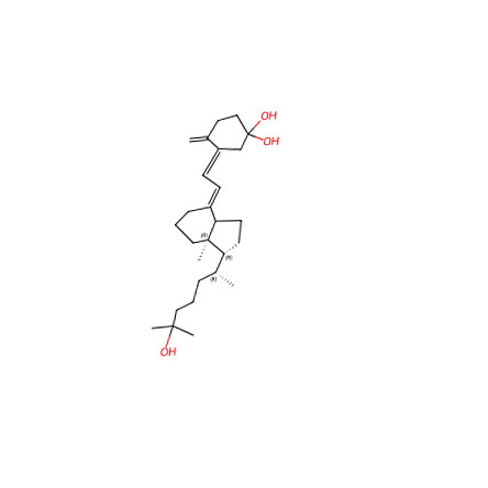 C=C1CCC(O)(O)CC1=CC=C1CCC[C@@]2(C)C1CC[C@@H]2[C@H](C)CCCC(C)(C)O